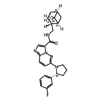 CC1(C)[C@H]2CC[C@@H](CNC(=O)c3cnc4ccc(N5CCC[C@@H]5c5cccc(F)c5)nn34)[C@@H]1C2